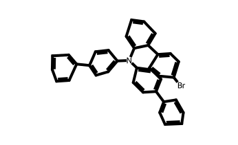 Brc1ccc(-c2ccccc2N(c2ccc(-c3ccccc3)cc2)c2ccc(-c3ccccc3)cc2)cc1